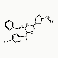 CC(C)NC1CCN(C(=S)NC2N=C(c3ccccc3)c3cc(Cl)ccc3N(C)C2=O)C1